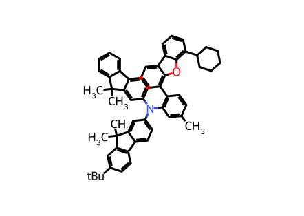 Cc1ccc(-c2cccc3c2oc2c(C4CCCCC4)cccc23)c(N(c2ccc3c(c2)C(C)(C)c2ccccc2-3)c2ccc3c(c2)C(C)(C)c2cc(C(C)(C)C)ccc2-3)c1